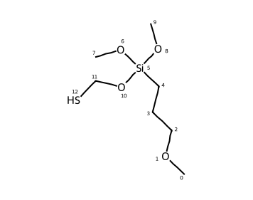 COCCC[Si](OC)(OC)OCS